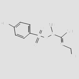 CCN=C(N)N(N)OS(=O)(=O)c1ccc(C)cc1